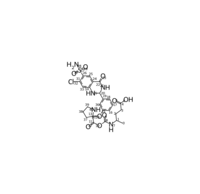 CC(CCC(=O)O)NC(=O)OC(=O)[C@]1(Oc2cccc(C3NC(=O)c4cc(S(N)(=O)=O)c(Cl)cc4N3)c2)CCCN1